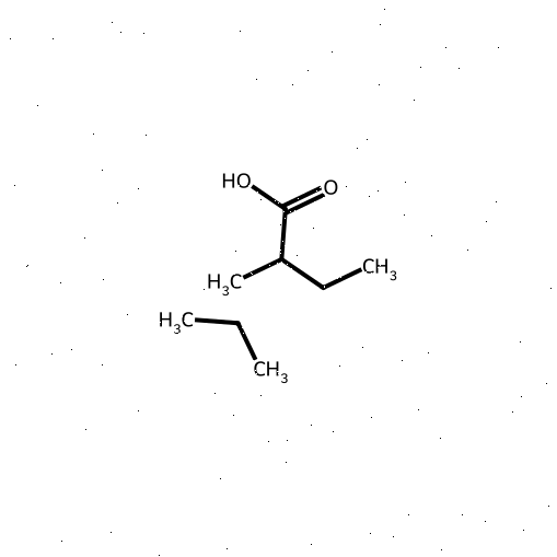 CCC.CCC(C)C(=O)O